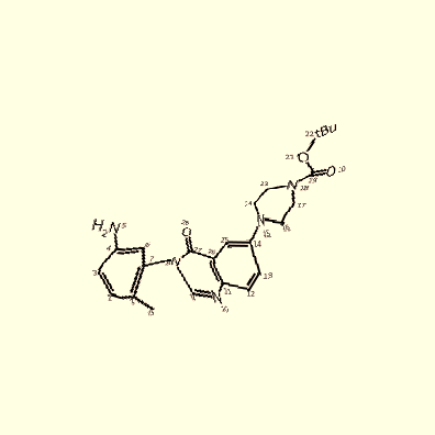 Cc1ccc(N)cc1-n1cnc2ccc(N3CCN(C(=O)OC(C)(C)C)CC3)cc2c1=O